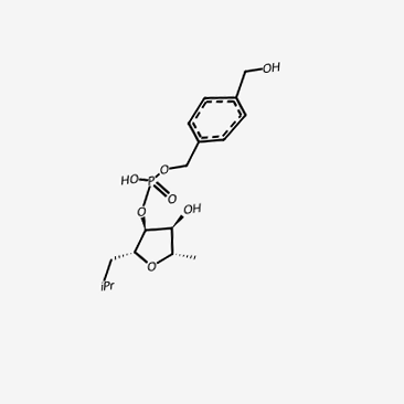 CC(C)C[C@H]1O[C@@H](C)[C@H](O)[C@@H]1OP(=O)(O)OCc1ccc(CO)cc1